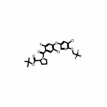 CC(C)(C)OC(=O)C1CCCN1C(=O)c1cc(Cl)c(Oc2cnc(OCC(F)(F)F)c(Cl)c2)cc1F